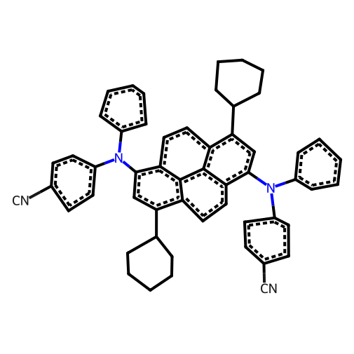 [C-]#[N+]c1ccc(N(c2ccccc2)c2cc(C3CCCCC3)c3ccc4c(N(c5ccccc5)c5ccc(C#N)cc5)cc(C5CCCCC5)c5ccc2c3c54)cc1